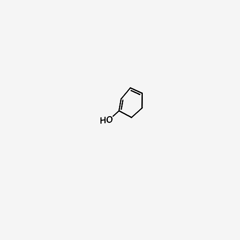 OC1=CC=CCC1